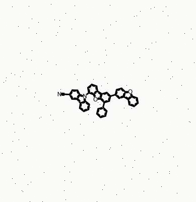 N#Cc1ccc2c(c1)c1ccccc1n2-c1cccc2c1oc1c(-c3ccccc3)cc(-c3ccc4oc5ccccc5c4c3)cc12